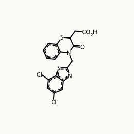 O=C(O)CC1Sc2ccccc2N(Cc2nc3cc(Cl)cc(Cl)c3s2)C1=O